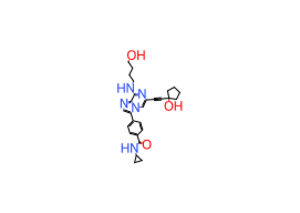 O=C(NC1CC1)c1ccc(-c2cnc3c(NCCCCO)nc(C#CC4(O)CCCC4)cn23)cc1